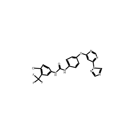 O=C(Nc1ccc(Oc2cc(-n3cncn3)ncn2)cc1)Nc1ccc(Cl)c(C(F)(F)F)c1